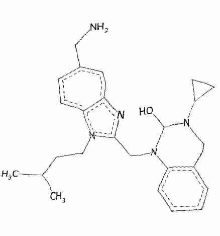 CC(C)CCn1c(CN2c3ccccc3CN(C3CC3)C2O)nc2cc(CN)ccc21